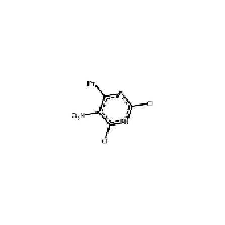 CC(C)c1nc(Cl)nc(Cl)c1[N+](=O)[O-]